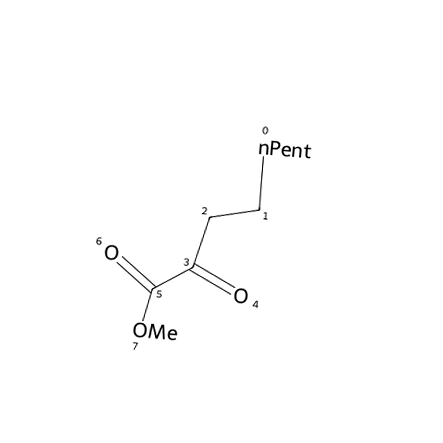 CCCCCCCC(=O)C(=O)OC